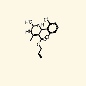 C=CCOC(=O)C1=C(C)NC(O)NC1c1c(Cl)cccc1Cl